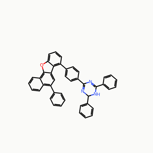 c1ccc(C2=NC(c3ccc(-c4cccc5oc6c7ccccc7c(-c7ccccc7)cc6c45)cc3)=NC(c3ccccc3)N2)cc1